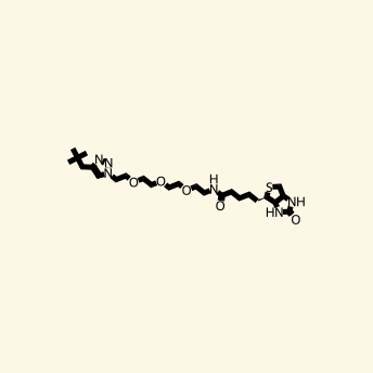 CC(C)(C)Cc1cn(CCOCCOCCOCCNC(=O)CCCC[C@@H]2SCC3NC(=O)NC32)nn1